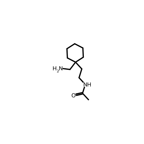 CC(=O)NCCC1(CN)CCCCC1